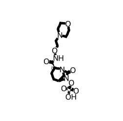 O=C(NOCCN1CCOCC1)[C@@H]1CCC2CN1C(=O)N2OS(=O)(=O)O